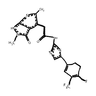 Cc1sc2[nH]n(C)c(=O)c2c1CC(=O)Nc1nc(C2=CC(C(F)(F)F)=C(F)CC2)cs1